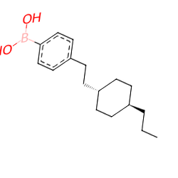 CCC[C@H]1CC[C@H](CCc2ccc(B(O)O)cc2)CC1